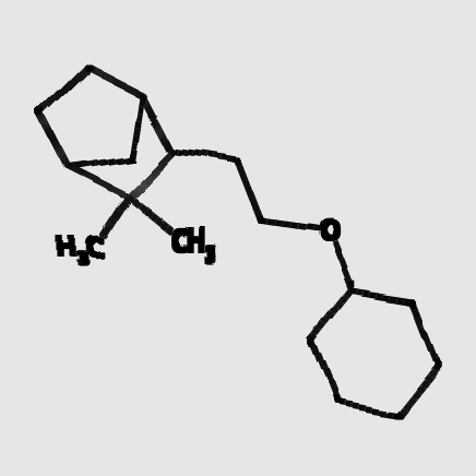 CC1(C)C2CCC(C2)C1CCO[C]1CCCCC1